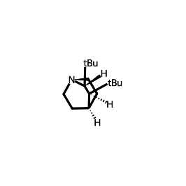 CC(C)(C)[C@@H]1[C@@H](C(C)(C)C)[C@H]2CC[N@]1CC2